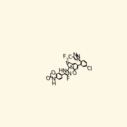 O=C1COc2cc(-c3[nH]c(C4C5CC5c5cc(-c6cc(Cl)ccc6-n6cc(C(F)(F)F)nn6)cc(=O)n54)nc3F)ccc2N1